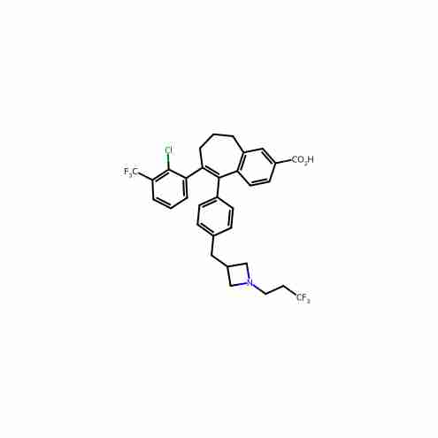 O=C(O)c1ccc2c(c1)CCCC(c1cccc(C(F)(F)F)c1Cl)=C2c1ccc(CC2CN(CCC(F)(F)F)C2)cc1